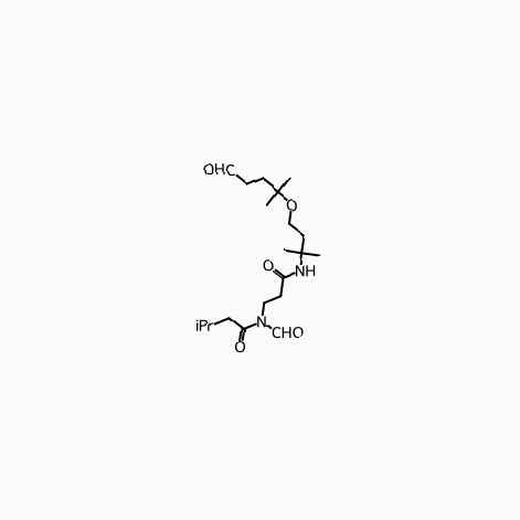 CC(C)CC(=O)N(C=O)CCC(=O)NC(C)(C)CCOC(C)(C)CCC=O